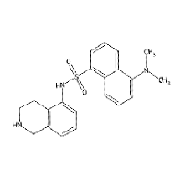 CN(C)c1cccc2c(S(=O)(=O)Nc3cccc4c3CCNC4)cccc12